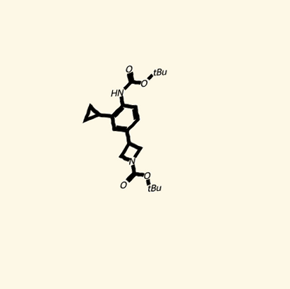 CC(C)(C)OC(=O)Nc1ccc(C2CN(C(=O)OC(C)(C)C)C2)cc1C1CC1